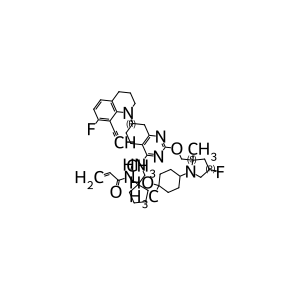 C#Cc1c(F)ccc2c1N([C@@H]1CCc3c(nc(OC[C@]4(C)C[C@@H](F)CN4C4CCC(C)(O)CC4)nc3NCC3(N(C)C(=O)C=C)CCCC3)C1)CCC2